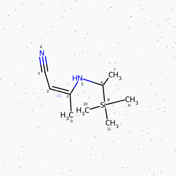 C/C(=C/C#N)NC(C)[Si](C)(C)C